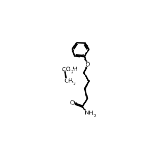 CC(=O)O.NC(=O)CCCCOc1ccccc1